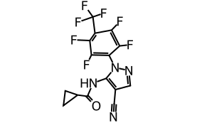 N#Cc1cnn(-c2c(F)c(F)c(C(F)(F)F)c(F)c2F)c1NC(=O)C1CC1